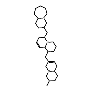 CC1CCC2CC=C(CC3CCCN4C(CC5CCC6CCCCCN6C5)CC=CC34)CN2C1